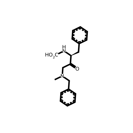 CN(CC(=O)[C@H](Cc1ccccc1)NC(=O)O)Cc1ccccc1